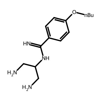 CCCCOc1ccc(C(=N)NC(CN)CN)cc1